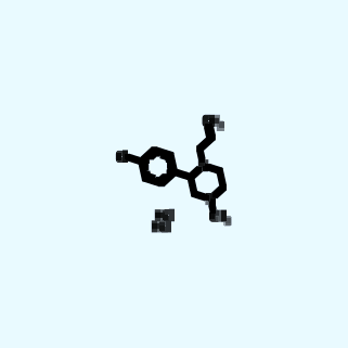 C=CCN1CCN(C)CC1c1ccc(Cl)cc1.Cl.Cl